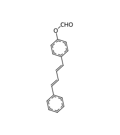 O=COc1ccc(C=CC=Cc2ccccc2)cc1